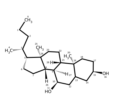 CCC[C@@H](C)[C@H]1CC[C@H]2[C@@H]3[C@H](O)CC4C[C@H](O)CC[C@]4(C)[C@H]3CC[C@]12C